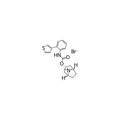 C[N+]1(C)[C@@H]2CC[C@H]1C[C@@H](OC(=O)Nc1ccccc1-c1ccsc1)C2.[Br-]